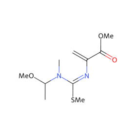 C=C(/N=C(/SC)N(C)C(C)OC)C(=O)OC